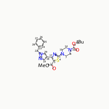 COC(=O)c1sc(N2CCN(C(=O)OC(C)(C)C)CC2)nc1-c1cnn(Cc2ccccc2)c1